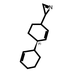 C1=CC([C@@H]2C=CC(C3C=N3)CC2)CCC1